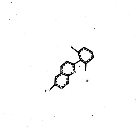 Cc1cccc(C)c1-c1ccc2cc(O)ccc2n1.[LiH]